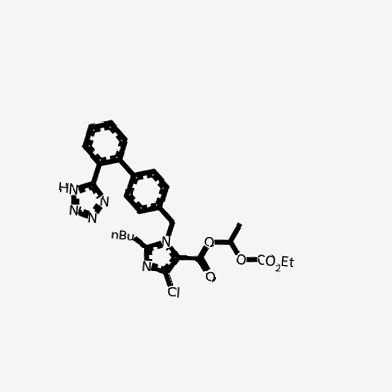 CCCCc1nc(Cl)c(C(=O)OC(C)OC(=O)OCC)n1Cc1ccc(-c2ccccc2-c2nnn[nH]2)cc1